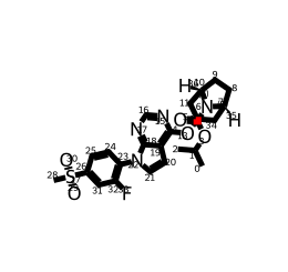 CC(C)OC(=O)N1[C@H]2CC[C@H]1CC(Oc1ncnc3c1ccn3-c1ccc(S(C)(=O)=O)cc1F)C2